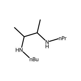 CCCCNC(C)C(C)NCCC